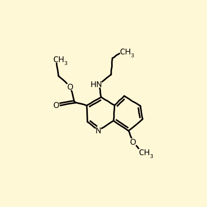 CCCNc1c(C(=O)OCC)cnc2c(OC)cccc12